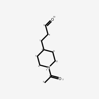 CC(=O)N1CCC(CCC=O)CC1